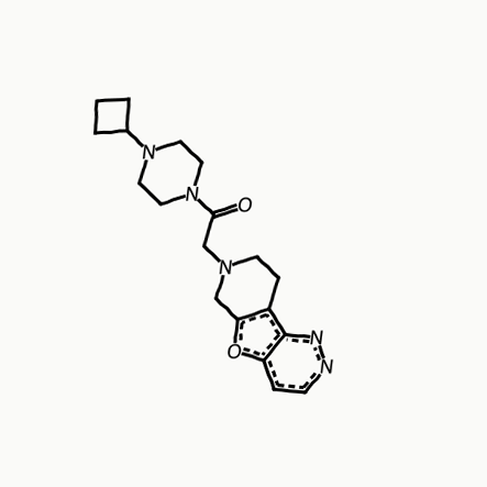 O=C(CN1CCc2c(oc3ccnnc23)C1)N1CCN(C2CCC2)CC1